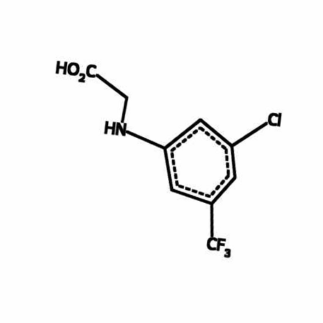 O=C(O)CNc1cc(Cl)cc(C(F)(F)F)c1